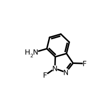 Nc1cccc2c(F)nn(F)c12